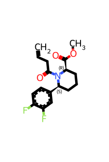 C=CCC(=O)N1[C@@H](C(=O)OC)CCC[C@H]1c1ccc(F)c(F)c1